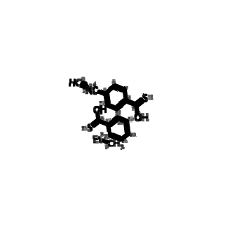 C#N.CCC.N#Cc1ccc(C(O)=S)cc1.OC(=S)c1ccccc1